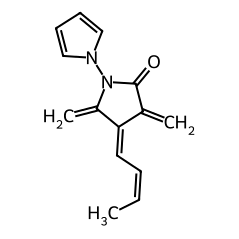 C=C1C(=O)N(n2cccc2)C(=C)/C1=C/C=C\C